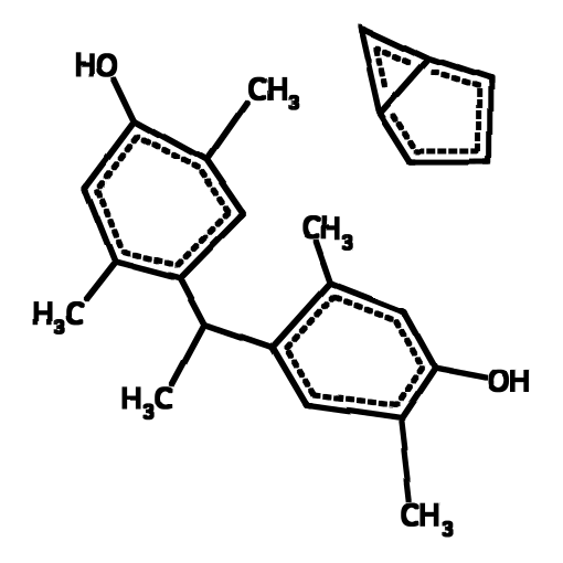 Cc1cc(C(C)c2cc(C)c(O)cc2C)c(C)cc1O.c1cc2cc-2c1